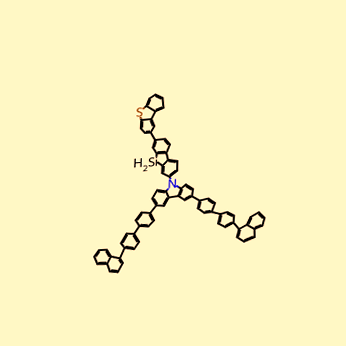 c1ccc2c(-c3ccc(-c4ccc(-c5ccc6c(c5)c5cc(-c7ccc(-c8ccc(-c9cccc%10ccccc9%10)cc8)cc7)ccc5n6-c5ccc6c(c5)[SiH2]c5cc(-c7ccc8sc9ccccc9c8c7)ccc5-6)cc4)cc3)cccc2c1